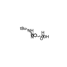 CC(C)(C)CCNCCn1cnc2cc(/C=C/C(=O)NO)ccc21